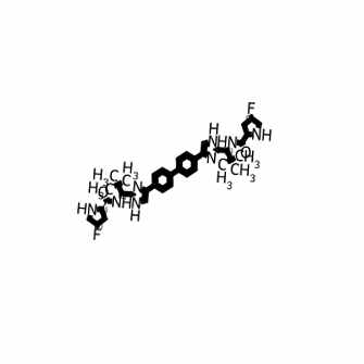 CC(C)(C)[C@H](NC(=O)C1C[C@@H](F)CN1)c1nc(-c2ccc(-c3ccc(-c4c[nH]c([C@@H](NC(=O)[C@@H]5C[C@@H](F)CN5)C(C)(C)C)n4)cc3)cc2)c[nH]1